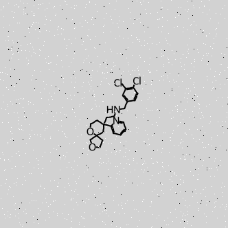 Clc1ccc(CNCCC2(c3ccccn3)CCOC3(CCOC3)C2)cc1Cl